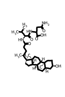 CC(C)[C@H](NC(=O)CC[C@@H](C)[C@H]1CC[C@H]2[C@@H]3CC[C@@H]4C[C@H](O)CC[C@]4(C)[C@H]3CC[C@]12C)C(=O)NC(CC(N)=O)C(=O)O